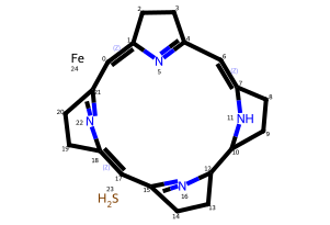 C1=C2/CCC(=N2)/C=C2/CCC(N2)C2CCC(=N2)/C=C2/CCC/1=N2.S.[Fe]